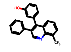 Oc1cccc(-c2c(-c3cc[c]cc3)cnc3c(C(F)(F)F)cccc23)c1